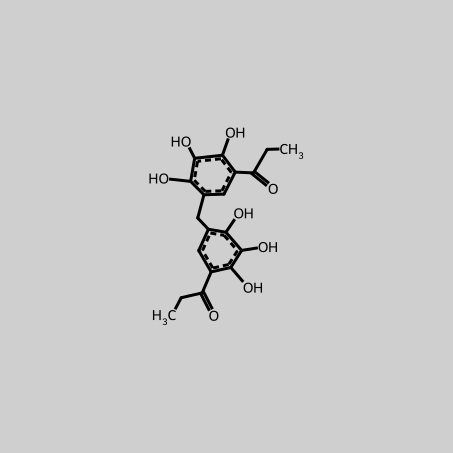 CCC(=O)c1cc(Cc2cc(C(=O)CC)c(O)c(O)c2O)c(O)c(O)c1O